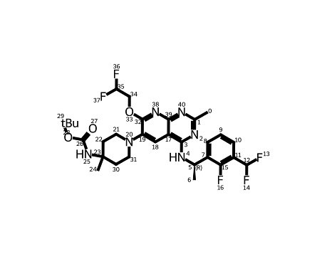 Cc1nc(N[C@H](C)c2cccc(C(F)F)c2F)c2cc(N3CCC(C)(NC(=O)OC(C)(C)C)CC3)c(OCC(F)F)nc2n1